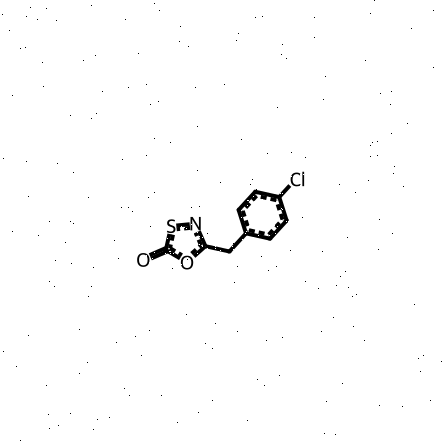 O=c1oc(Cc2ccc(Cl)cc2)ns1